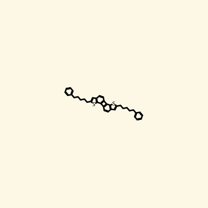 c1ccc(CCCCCc2cc3ccc4c(c3s2)-c2ccc3cc(CCCCCc5ccccc5)sc3c2-4)cc1